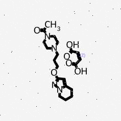 CC(=O)N1CCN(CCCOc2cc3n(n2)CCCC3)CC1.O=C(O)/C=C\C(=O)O